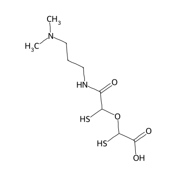 CN(C)CCCNC(=O)C(S)OC(S)C(=O)O